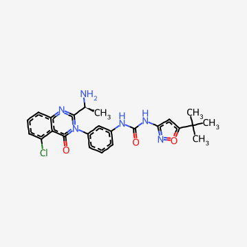 C[C@H](N)c1nc2cccc(Cl)c2c(=O)n1-c1cccc(NC(=O)Nc2cc(C(C)(C)C)on2)c1